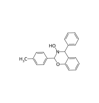 Cc1ccc(C2Oc3ccccc3C(c3ccccc3)N2O)cc1